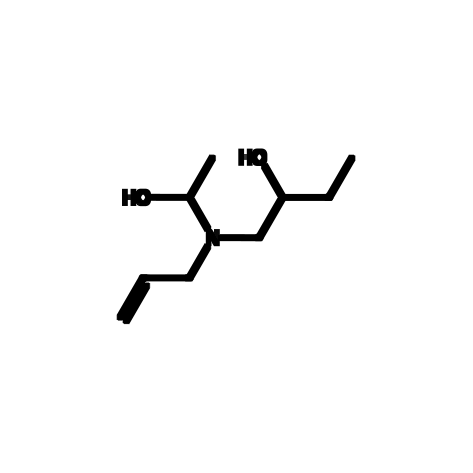 C=CCN(CC(O)CC)C(C)O